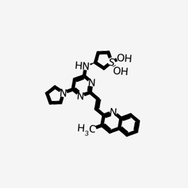 Cc1cc2ccccc2nc1C=Cc1nc(N[C@@H]2CCS(O)(O)C2)cc(N2CCCC2)n1